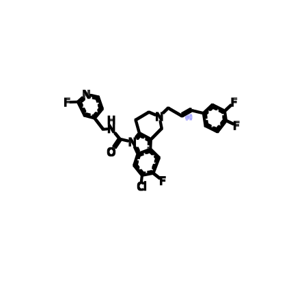 O=C(NCc1ccnc(F)c1)n1c2c(c3cc(F)c(Cl)cc31)CN(C/C=C/c1ccc(F)c(F)c1)CC2